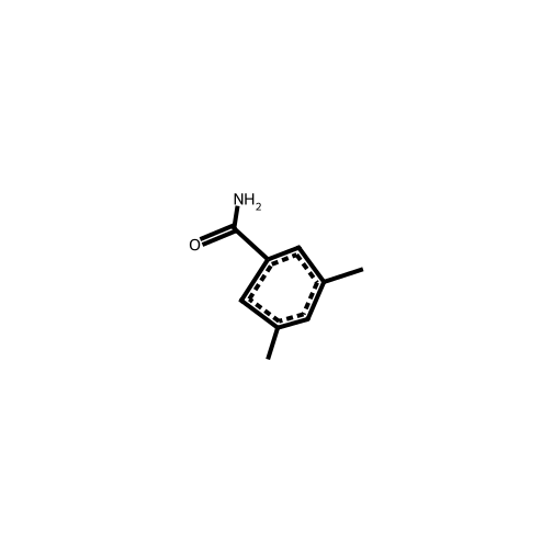 Cc1cc(C)cc(C(N)=O)c1